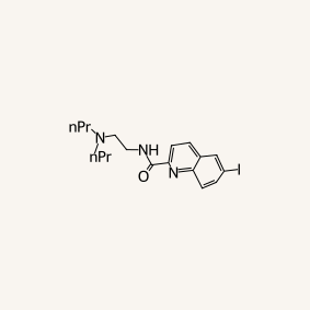 CCCN(CCC)CCNC(=O)c1ccc2cc(I)ccc2n1